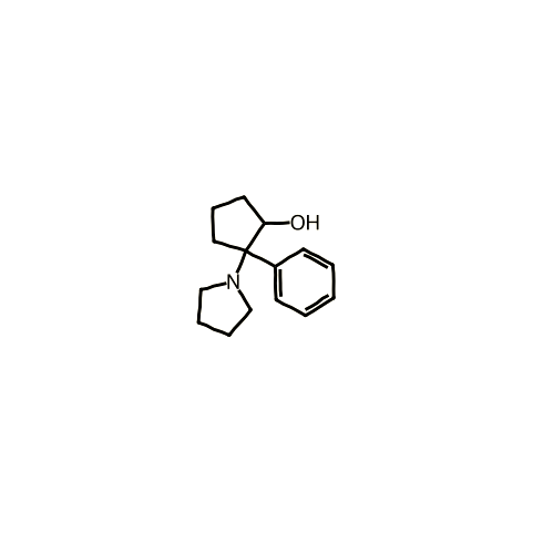 OC1CCCC1(c1ccccc1)N1CCCC1